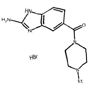 Br.CCN1CCN(C(=O)c2ccc3[nH]c(N)nc3c2)CC1